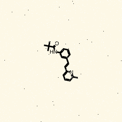 Cc1cccc(C=Cc2cccc(NC(=O)C(C)(C)C)c2)n1